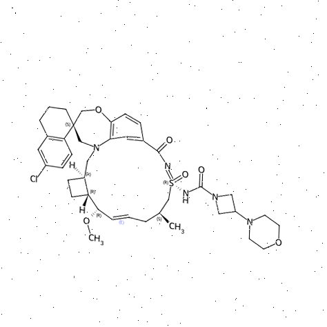 CO[C@H]1/C=C/C[C@H](C)C[S@@](=O)(NC(=O)N2CC(N3CCOCC3)C2)=NC(=O)c2ccc3c(c2)N(C[C@@H]2CC[C@H]21)C[C@@]1(CCCc2cc(Cl)ccc21)CO3